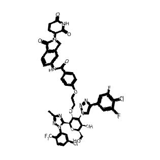 Cc1nc([C@@H]2O[C@H](CO)[C@H](O)[C@H](n3cc(-c4cc(F)c(Cl)c(F)c4)nn3)[C@H]2OCCOc2ccc(C(=O)Nc3ccc4c(c3)CN(C3CCC(=O)NC3=O)C4=O)cc2)n(-c2cc(Cl)ccc2C(F)(F)F)n1